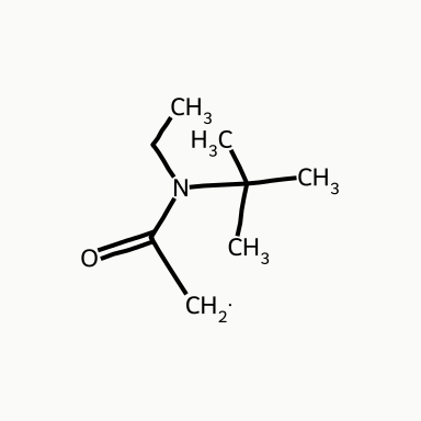 [CH2]C(=O)N(CC)C(C)(C)C